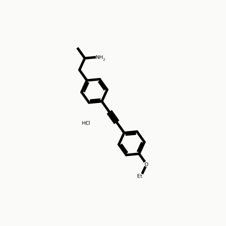 CCOc1ccc(C#Cc2ccc(CC(C)N)cc2)cc1.Cl